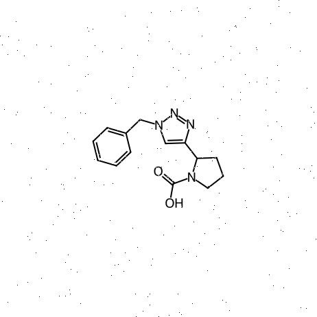 O=C(O)N1CCCC1c1cn(Cc2ccccc2)nn1